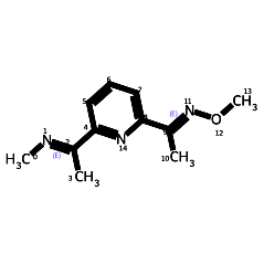 C/N=C(\C)c1cccc(/C(C)=N/OC)n1